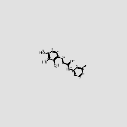 Cc1cccc(NC(=O)CCc2ccc(O)c(O)c2O)c1